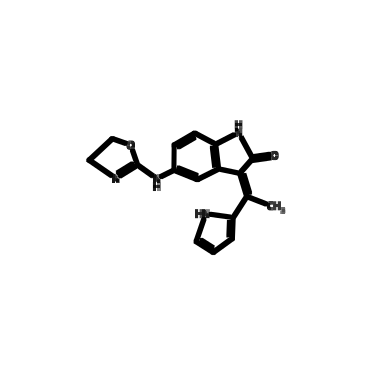 C/C(=C1\C(=O)Nc2ccc(NC3=NCCO3)cc21)c1ccc[nH]1